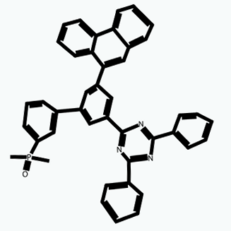 CP(C)(=O)c1cccc(-c2cc(-c3nc(-c4ccccc4)nc(-c4ccccc4)n3)cc(-c3cc4ccccc4c4ccccc34)c2)c1